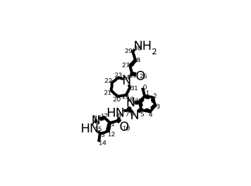 Cc1cccc2nc(NC(=O)C3=CC(C)NN=C3)n([C@@H]3CCCCN(C(=O)/C=C/CN)C3)c12